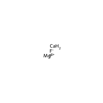 [CaH2].[F-].[F-].[Mg+2]